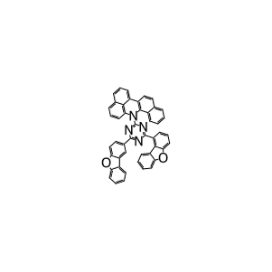 c1ccc2c3c(ccc2c1)-c1cccc2cccc(c12)N3c1nc(-c2ccc3oc4ccccc4c3c2)nc(-c2cccc3oc4ccccc4c23)n1